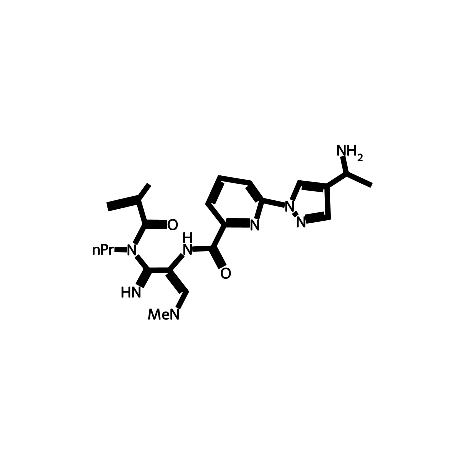 C=C(C)C(=O)N(CCC)C(=N)/C(=C\NC)NC(=O)c1cccc(-n2cc(C(C)N)cn2)n1